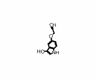 C#CCOc1ccc2[nH]cc(O)c2c1